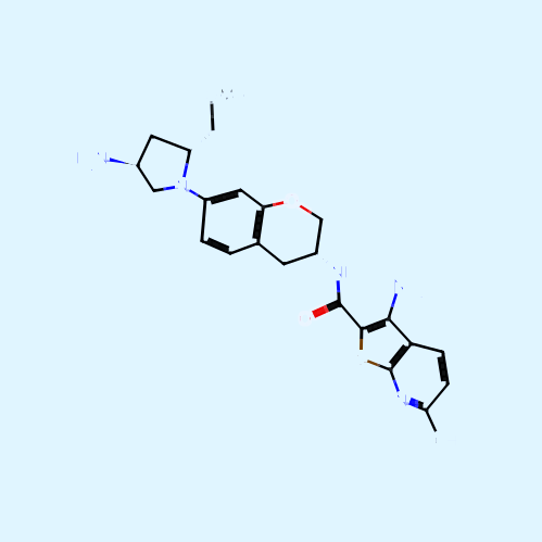 COC[C@H]1C[C@H](N)CN1c1ccc2c(c1)OC[C@H](NC(=O)c1sc3nc(C)ccc3c1N)C2